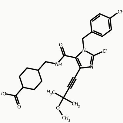 COC(C)(C)C#Cc1nc(Cl)n(Cc2ccc(C)cc2)c1C(=O)NCC1CCC(C(=O)O)CC1